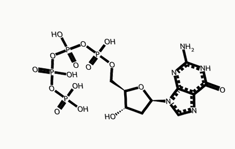 Nc1nc2c(ncn2[C@H]2C[C@H](O)[C@@H](COP(=O)(O)OP(=O)(O)OP(=O)(O)OP(=O)(O)O)O2)c(=O)[nH]1